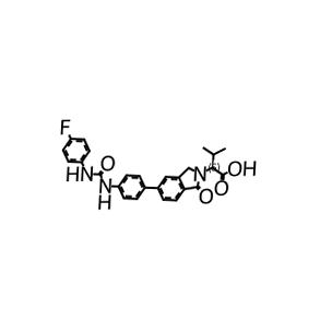 CC(C)[C@@H](C(=O)O)N1Cc2cc(-c3ccc(NC(=O)Nc4ccc(F)cc4)cc3)ccc2C1=O